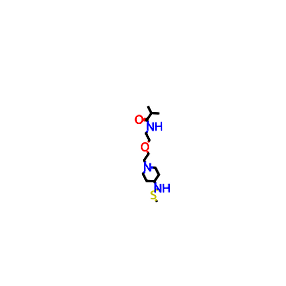 CSNC1CCN(CCOCCNC(=O)C(C)C)CC1